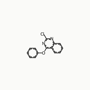 Clc1nc(Oc2ccccc2)c2ccccc2n1